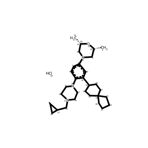 C[C@@H]1CN(c2ccc(N3CCN(CC4CC4)CC3)c(C3CCC4(CCCC4)CC3)c2)C[C@H](C)O1.Cl